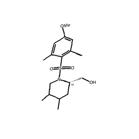 COc1cc(C)c(S(=O)(=O)N2CC(C)C(C)C[C@H]2CO)c(C)c1